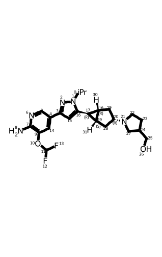 CC(C)n1nc(-c2cnc(N)c(OC(F)F)c2)cc1[C@H]1[C@@H]2C[C@H](N3CCC(CO)C3)C[C@@H]21